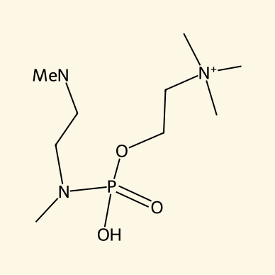 CNCCN(C)P(=O)(O)OCC[N+](C)(C)C